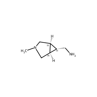 CN1C[C@@H]2[C@@H](CN)[C@@H]2C1